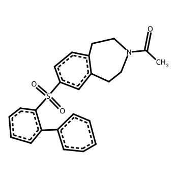 CC(=O)N1CCc2ccc(S(=O)(=O)c3ccccc3-c3ccccc3)cc2CC1